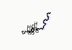 CC/C=C\C/C=C\C/C=C\C/C=C\C/C=C\CCCC(=O)Nc1cc(OC)c(C(=O)NCCN(CC)CC)cc1Cl